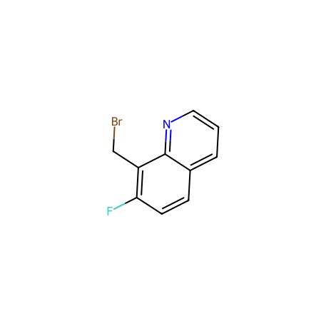 Fc1ccc2cccnc2c1CBr